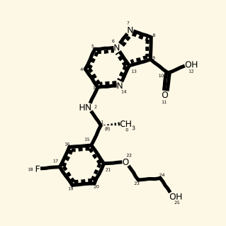 C[C@@H](Nc1ccn2ncc(C(=O)O)c2n1)c1cc(F)ccc1OCCO